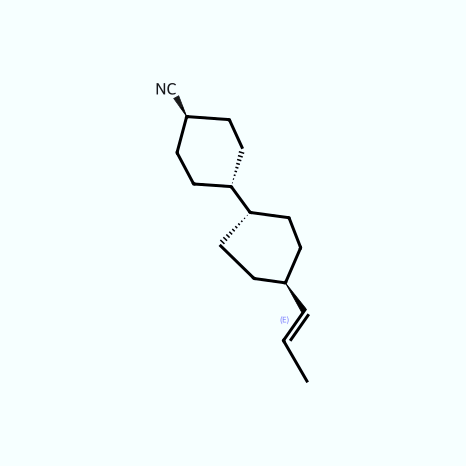 C/C=C/[C@H]1CC[C@H]([C@H]2CC[C@H](C#N)CC2)CC1